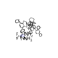 COc1ccc(COC(=O)[C@@]2(C)CCCC[C@H]2C(=O)N2CCc3c(Cl)ccc(OC/C(N)=C(\C(F)F)N(C)N)c3C2CN2CCCC2=O)c(OC)c1